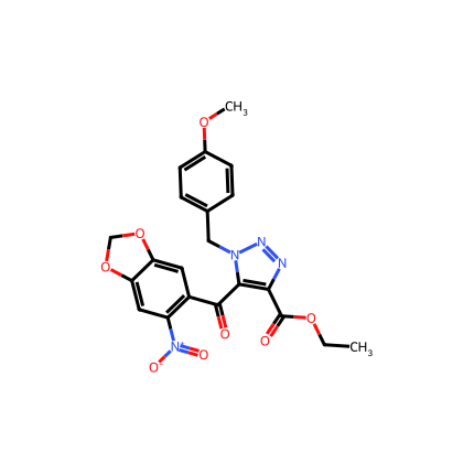 CCOC(=O)c1nnn(Cc2ccc(OC)cc2)c1C(=O)c1cc2c(cc1[N+](=O)[O-])OCO2